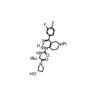 C/N=C(\C1=C(NC(=O)N[C@H](C(=O)N2CC[C@H](O)C2)C(C)(C)C)CCN(C(C)C)C1)c1ccc(F)c(F)c1